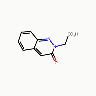 O=C(O)Cn1nc2ccccc2cc1=O